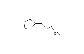 CC(=O)OCCCC1CCCC1